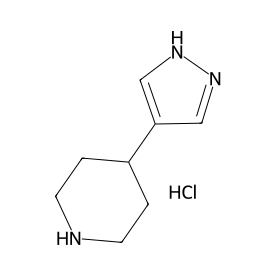 Cl.c1n[nH]cc1C1CCNCC1